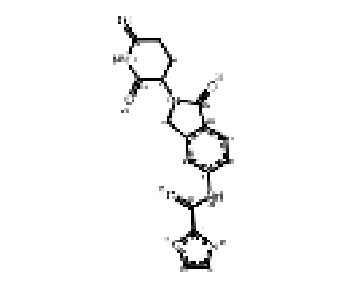 O=C1CCC(N2Cc3cc(NC(=O)c4ncco4)ccc3C2=O)C(=O)N1